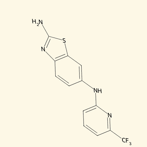 Nc1nc2ccc(Nc3cccc(C(F)(F)F)n3)cc2s1